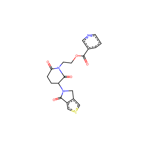 O=C(OCCN1C(=O)CCC(N2Cc3cscc3C2=O)C1=O)c1cccnc1